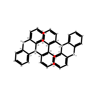 c1ccc2c(c1)Sc1ccccc1N2c1ccncc1-c1cnccc1N1c2ccccc2Sc2ccccc21